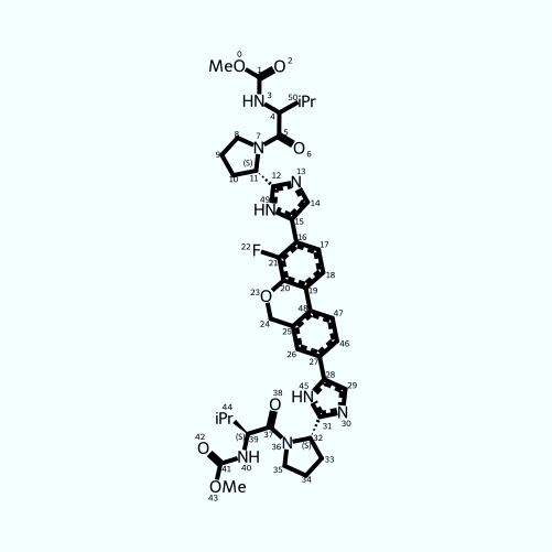 COC(=O)NC(C(=O)N1CCC[C@H]1c1ncc(-c2ccc3c(c2F)OCc2cc(-c4cnc([C@@H]5CCCN5C(=O)[C@@H](NC(=O)OC)C(C)C)[nH]4)ccc2-3)[nH]1)C(C)C